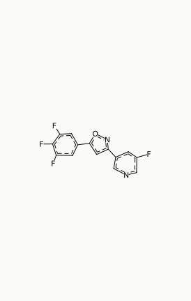 Fc1cncc(-c2cc(-c3cc(F)c(F)c(F)c3)on2)c1